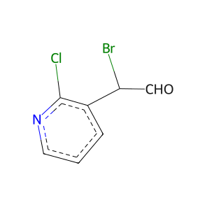 O=CC(Br)c1cccnc1Cl